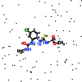 CNC(=O)Nc1cc(Cl)ccc1NC(=S)NC(=O)OC